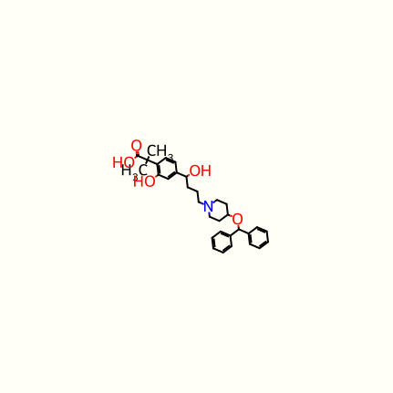 CC(C)(C(=O)O)c1ccc(C(O)CCCN2CCC(OC(c3ccccc3)c3ccccc3)CC2)cc1O